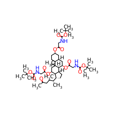 CC(=O)CC[C@@H](C)[C@H]1CC[C@H]2[C@@H]3[C@H](OC(=O)CNC(=O)OC(C)(C)C)C[C@@H]4C[C@H](OC(=O)CNC(=O)OC(C)(C)C)CC[C@]4(C)[C@H]3C[C@H](OC(=O)CNC(=O)OC(C)(C)C)[C@]12C